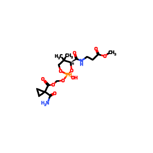 COC(=O)CCNC(=O)[C@@H]1O[PH](O)(OCOC(=O)C2(C(N)=O)CC2)OCC1(C)C